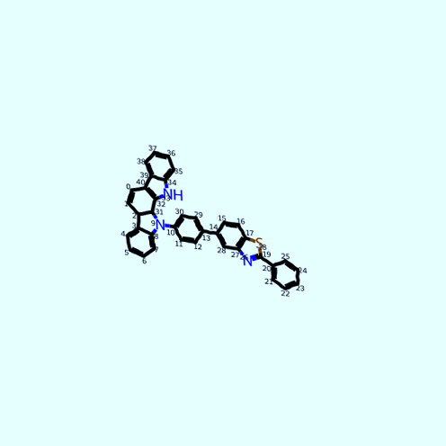 C1=CC2c3ccccc3N(c3ccc(-c4ccc5sc(-c6ccccc6)nc5c4)cc3)C2c2[nH]c3ccccc3c21